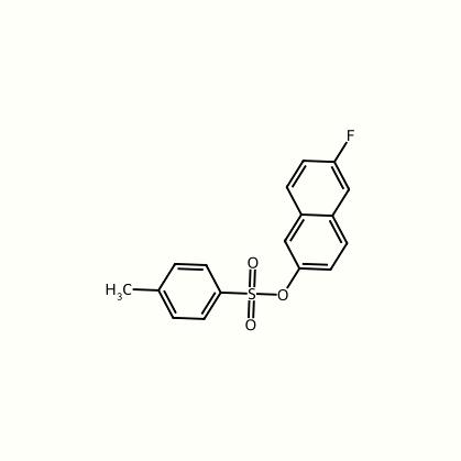 Cc1ccc(S(=O)(=O)Oc2ccc3cc(F)ccc3c2)cc1